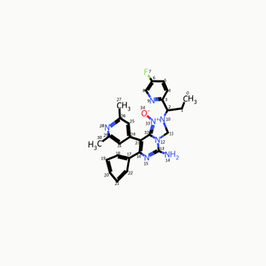 CCC(c1ccc(F)cn1)N1CN2C(N)=NC(c3ccccc3)=C(c3cc(C)nc(C)c3)C2=[N+]1[O-]